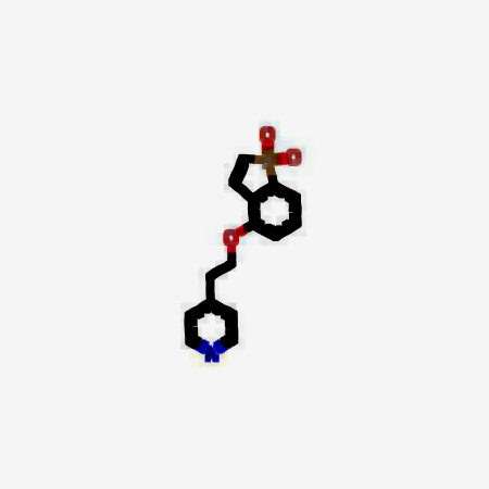 O=S1(=O)C=Cc2c(OCCc3ccncc3)cccc21